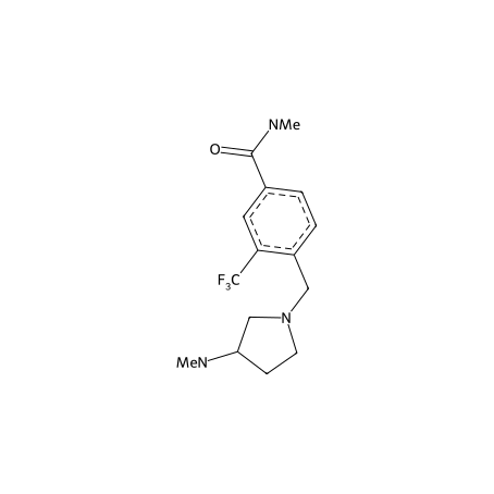 CNC(=O)c1ccc(CN2CCC(NC)C2)c(C(F)(F)F)c1